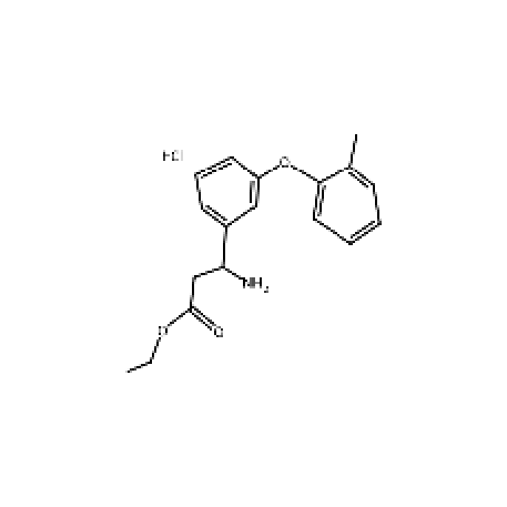 CCOC(=O)CC(N)c1cccc(Oc2ccccc2C)c1.Cl